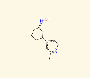 Cc1cc(C2=CC(=NO)CCC2)ccn1